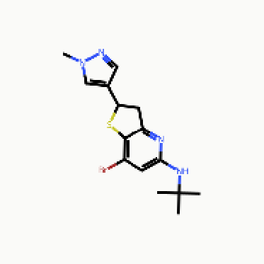 Cn1cc(C2Cc3nc(NC(C)(C)C)cc(Br)c3S2)cn1